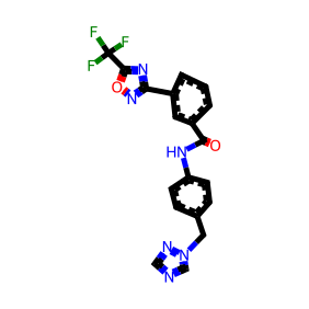 O=C(Nc1ccc(Cn2cncn2)cc1)c1cccc(-c2noc(C(F)(F)F)n2)c1